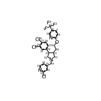 FC(F)(F)c1ccc(OCCC2CN(Cc3ccnc(Cl)c3)CC2c2ccc(Cl)c(Cl)c2)nc1